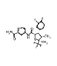 C[C@@H]1[C@@H](c2ccc(F)c(F)c2)[C@H](C(=O)Nc2ccnc(C(N)=O)c2)O[C@]1(C)C(F)(F)F